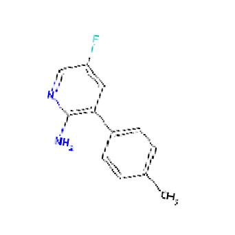 Cc1ccc(-c2cc(F)cnc2N)cc1